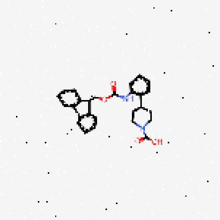 O=C(Nc1ccccc1C1CCN(C(=O)O)CC1)OCC1c2ccccc2-c2ccccc21